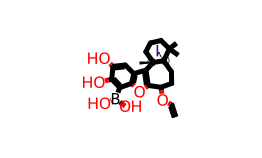 C=COC1CC[C@]2(I)C(C)(C)CCC[C@@]2(C)c2c1oc1c(B(O)O)c(O)c(O)cc21